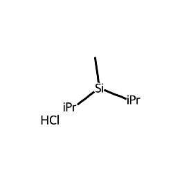 CC(C)[Si](C)C(C)C.Cl